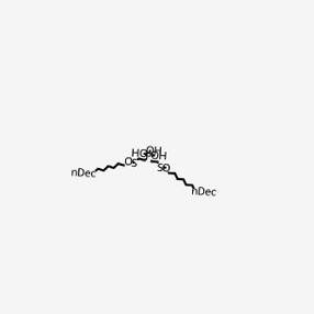 CCCCCCCCCCCCCCCCOSCCP(O)(O)(O)CCSOCCCCCCCCCCCCCCCC